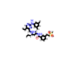 CCC[C@H](C[C@@H](C)NC(=O)c1cccc(CCS(C)(=O)=O)c1)NCc1nc(Nc2cc(C)cc(C)c2)ncc1CC